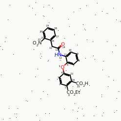 CCOC(=O)c1ccc(Oc2ccccc2NC(=O)Cc2ccccc2[N+](=O)[O-])cc1C(=O)O